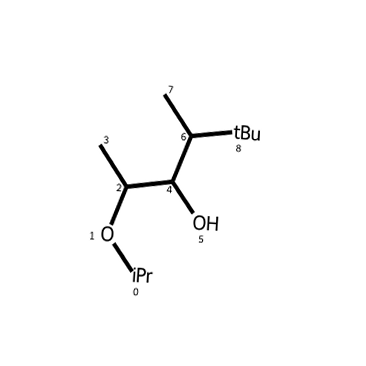 CC(C)OC(C)C(O)C(C)C(C)(C)C